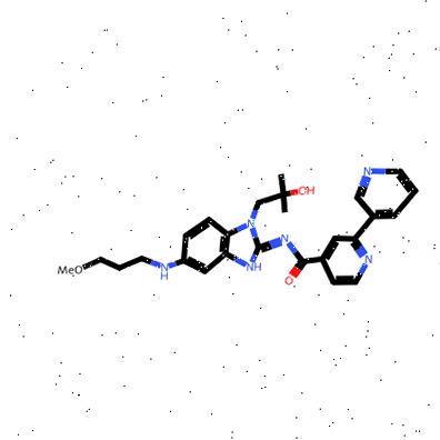 COCCCNc1ccc2c(c1)[nH]/c(=N\C(=O)c1ccnc(-c3cccnc3)c1)n2CC(C)(C)O